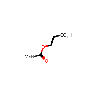 CNC(=O)OCCC(=O)O